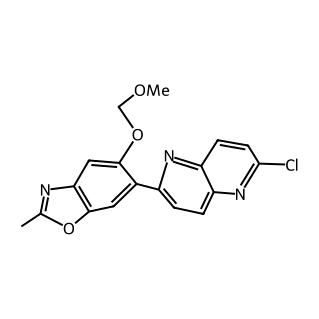 COCOc1cc2nc(C)oc2cc1-c1ccc2nc(Cl)ccc2n1